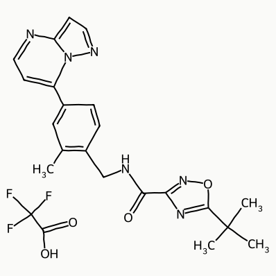 Cc1cc(-c2ccnc3ccnn23)ccc1CNC(=O)c1noc(C(C)(C)C)n1.O=C(O)C(F)(F)F